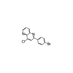 Clc1cc(-c2ccc(Br)cc2)nc2cccnc12